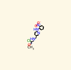 CO/C=C(\Cl)CNCc1ccc(Nc2ccccc2[N+](=O)[O-])nc1